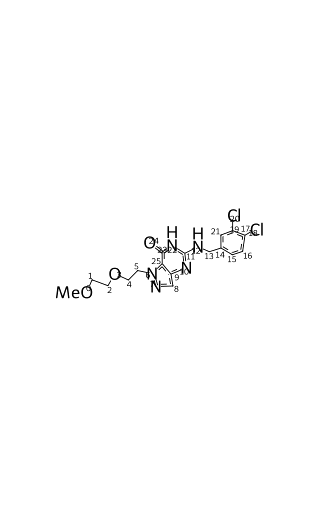 COCCOCCn1ncc2nc(NCc3ccc(Cl)c(Cl)c3)[nH]c(=O)c21